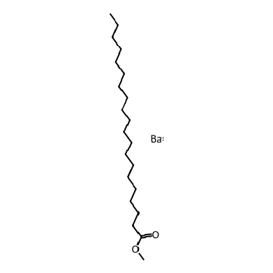 CCCCCCCCCCCCCCCCCCCC(=O)OC.[Ba]